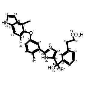 Cc1c(Oc2ccc(F)c(-c3ncc(C(O)(c4cccc(CCC(=O)O)c4)C(C)C)[nH]3)c2)c(F)cc2[nH]ccc12